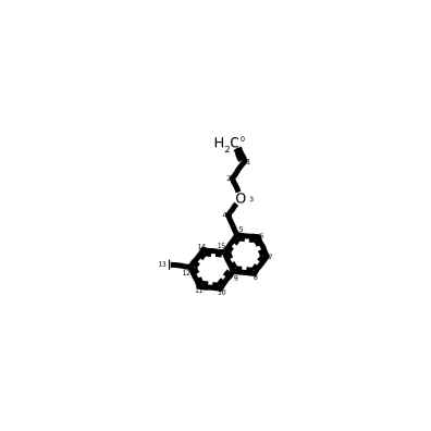 C=CCOCc1cccc2ccc(I)cc12